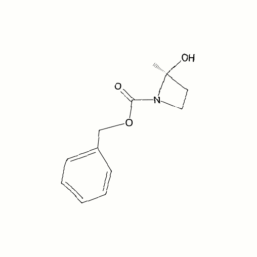 C[C@]1(O)CCN1C(=O)OCc1ccccc1